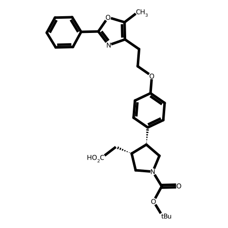 Cc1oc(-c2ccccc2)nc1CCOc1ccc([C@@H]2CN(C(=O)OC(C)(C)C)C[C@@H]2CC(=O)O)cc1